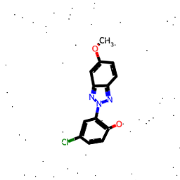 COc1ccc2nn(-c3cc(Cl)ccc3[O])nc2c1